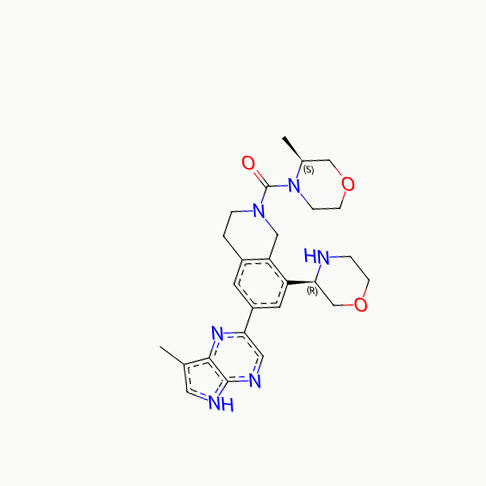 Cc1c[nH]c2ncc(-c3cc4c(c([C@@H]5COCCN5)c3)CN(C(=O)N3CCOC[C@@H]3C)CC4)nc12